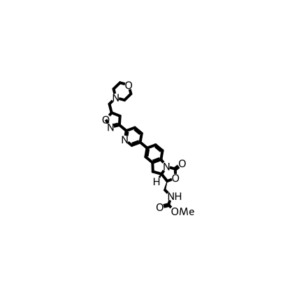 COC(=O)NC[C@@H]1OC(=O)N2c3ccc(-c4ccc(C5=NOC(CN6CCOCC6)C5)nc4)cc3C[C@@H]12